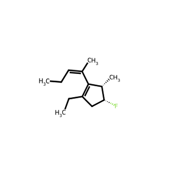 CC/C=C(/C)C1=C(CC)C[C@@H](F)[C@H]1C